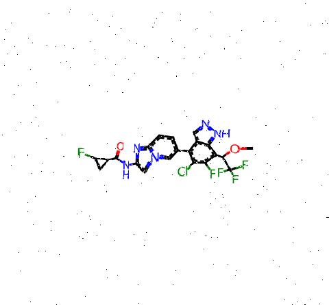 COC(c1c(F)c(Cl)c(-c2ccc3nc(NC(=O)C4CC4F)cn3c2)c2cn[nH]c12)C(F)(F)F